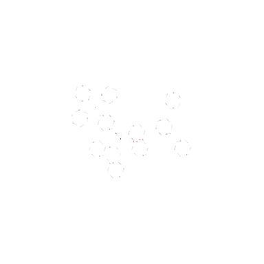 c1ccc(-c2cc(-c3ccccc3)cc(-c3ccc(N(c4ccc5c(c4)-c4ccccc4C5(c4ccccc4)c4ccccc4)c4c(-c5ccccc5)c5ccccc5c5ccccc45)cc3)c2)cc1